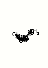 CS(=O)(=O)OCCCc1cc(F)c2ncc(C(=O)NCc3ccc(Cl)cc3)c(O)c2c1